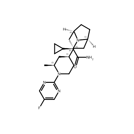 C[C@H]1C[C@@H]([C@@H]2C[C@H]3CC[C@@H](C2)N3[C@@H](C(N)=O)C2CC2)CCN1c1ncc(F)cn1